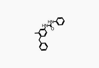 Cc1cc(NC(=O)Nc2ccccc2)ccc1Cc1ccccc1